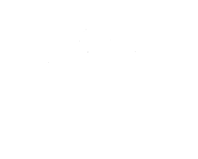 CS(=O)(=O)C1(OC2CC2)C=CC(c2ccccc2)C=C1OC1CC1